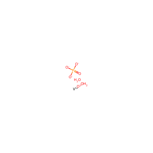 O.O.O=P([O-])([O-])[O-].[O-2].[V+5]